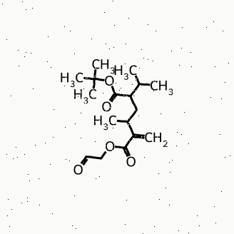 C=C(C(=O)OCC=O)C(C)CC(C(=O)OC(C)(C)C)C(C)C